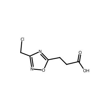 O=C(O)CCc1nc(CCl)no1